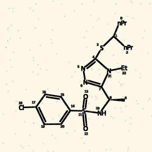 CCCC(CCC)Sc1nnc([C@@H](C)NS(=O)(=O)c2ccc(Cl)cc2)n1CC